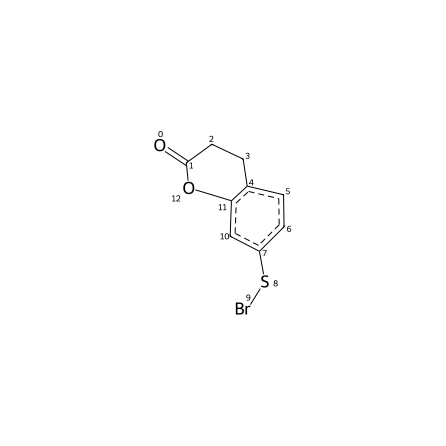 O=C1CCc2ccc(SBr)cc2O1